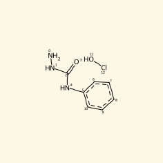 NNC(=O)Nc1ccccc1.OCl